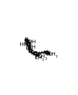 Cc1c(C)n(CCCCCN2CCN(C)CC2)c2ccc(Cc3ccc(C(=O)Nc4cc(O)c(-n5ccnc5)c(O)c4)cc3)cc12